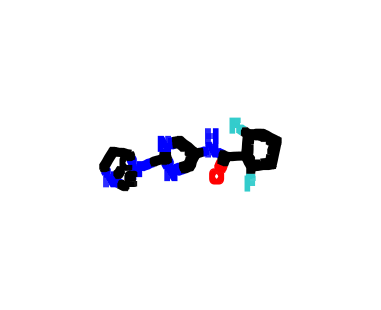 O=C(Nc1cnc(N2CCN3CCC2CC3)nc1)c1c(F)cccc1F